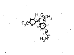 CC1(C)CC(c2ccc(C(F)(F)F)cc2)c2ccc(OCCN)cc2O1